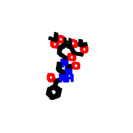 CC1(C)OC2C[C@@H](n3ccc(NC(=O)c4ccccc4)nc3=O)OC3COC(C)(C)O[C@H]3C2O1